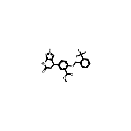 COC(=O)c1cc(C2CC(=O)Nc3n[nH]cc32)ccc1OCc1ccccc1C(F)(F)F